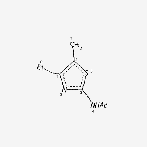 CCc1nc(NC(C)=O)sc1C